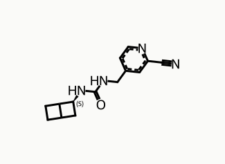 N#Cc1cc(CNC(=O)N[C@H]2CC3CCC32)ccn1